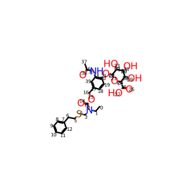 CCN(CSCCc1ccccc1)C(=O)OCc1ccc(O[C@@H]2O[C@H](C(=O)O)[C@@H](O)[C@H](O)[C@H]2O)c(NC(C)=O)c1